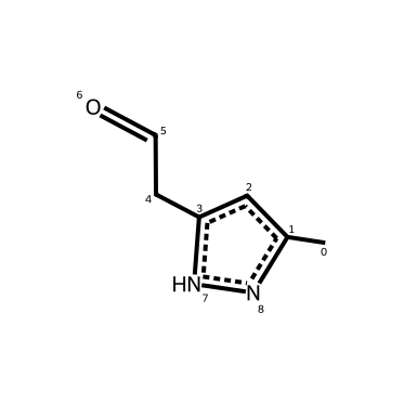 Cc1cc(CC=O)[nH]n1